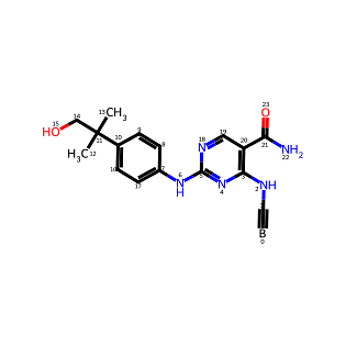 B#CNc1nc(Nc2ccc(C(C)(C)CO)cc2)ncc1C(N)=O